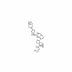 C=CC(=O)Nc1cccc(-c2cccc3cnc(Nc4ccc(N5CCN(C)CC5)cc4)nc23)c1CO